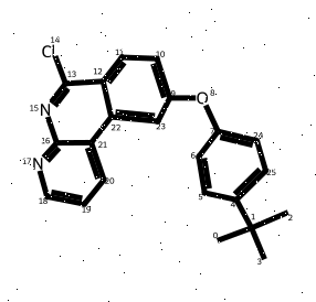 CC(C)(C)c1ccc(Oc2ccc3c(Cl)nc4ncccc4c3c2)cc1